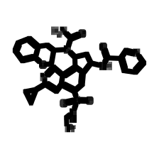 CC(C)CNS(=O)(=O)c1cc2c(c3cnc(C4CC4)cc13)C(N(C(N)=O)C1COc3ccccc3C1)CC2NC(=O)c1cccnc1